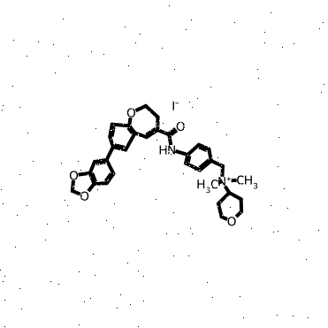 C[N+](C)(Cc1ccc(NC(=O)C2=Cc3cc(-c4ccc5c(c4)OCO5)ccc3OCC2)cc1)C1CCOCC1.[I-]